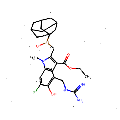 CCOC(=O)c1c(C[S+]([O-])C23CC4CC(CC(C4)C2)C3)n(C)c2cc(Br)c(O)c(CNC(=N)N)c12